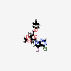 CC1(C)O[C@@H]2[C@H](O1)[C@@H](CO[Si](C)(C)C(C)(C)C)O[C@H]2n1cc(I)c2c(Cl)ncnc21